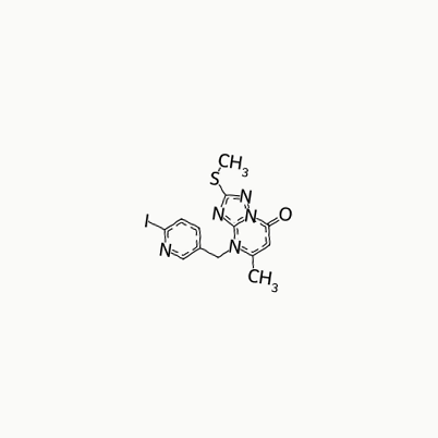 CSc1nc2n(Cc3ccc(I)nc3)c(C)cc(=O)n2n1